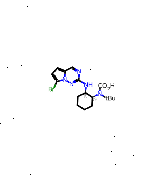 CC(C)(C)N(C(=O)O)[C@H]1CCCC[C@H]1Nc1ncc2ccc(Br)n2n1